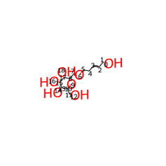 OC/C=C/CCOCC1OC(CO)[C@@H](O)C(O)[C@@H]1O